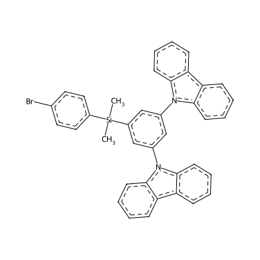 C[Si](C)(c1ccc(Br)cc1)c1cc(-n2c3ccccc3c3ccccc32)cc(-n2c3ccccc3c3ccccc32)c1